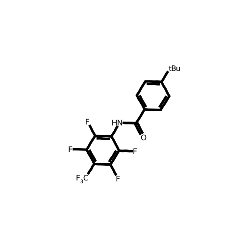 CC(C)(C)c1ccc(C(=O)Nc2c(F)c(F)c(C(F)(F)F)c(F)c2F)cc1